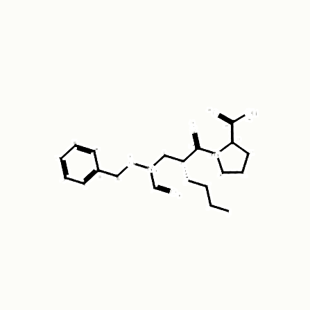 CCCC[C@H](CN(C=O)OCc1ccccc1)C(=O)N1CCCC1C(=O)O